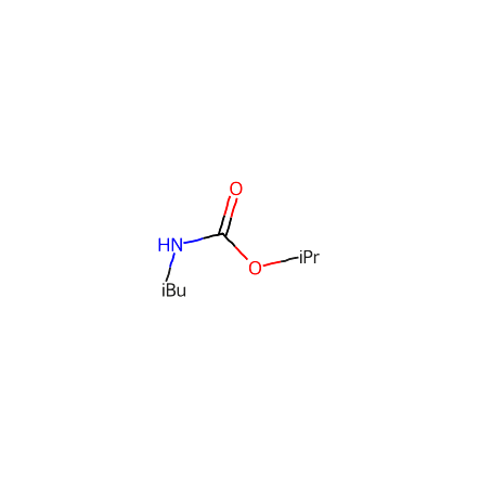 CCC(C)NC(=O)OC(C)C